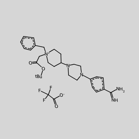 CC(C)(C)OC(=O)C[N+]1(Cc2ccccc2)CCC(N2CCN(c3ccc(C(=N)N)cc3)CC2)CC1.O=C([O-])C(F)(F)F